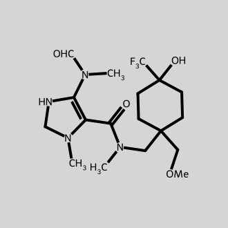 COCC1(CN(C)C(=O)C2=C(N(C)C=O)NCN2C)CCC(O)(C(F)(F)F)CC1